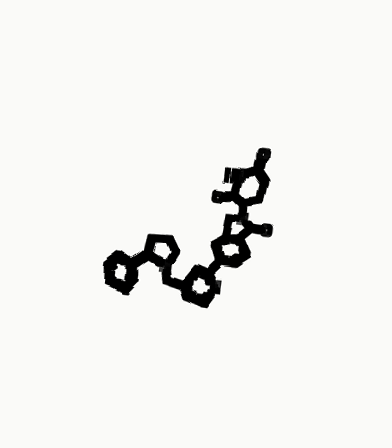 O=C1CCC(N2Cc3cc(-c4cc(CN5CCCC5c5ccccc5)ccn4)ccc3C2=O)C(=O)N1